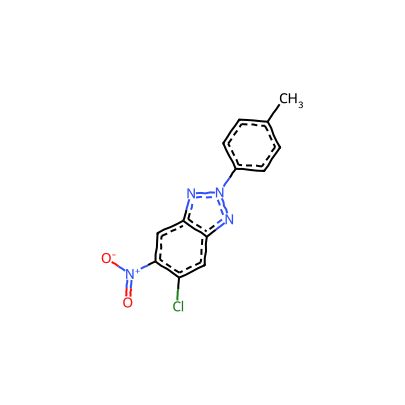 Cc1ccc(-n2nc3cc(Cl)c([N+](=O)[O-])cc3n2)cc1